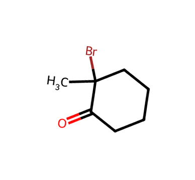 CC1(Br)CCCCC1=O